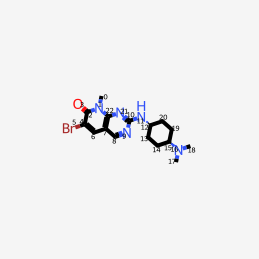 Cn1c(=O)c(Br)cc2cnc(N[C@H]3CC[C@H](N(C)C)CC3)nc21